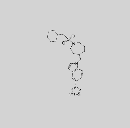 O=S(=O)(CC1CCCCC1)N1CCCC(Cn2ccc3cc(-c4cn[nH]c4)ccc32)CC1